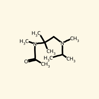 CC(=O)N(C)C(C)(C)CN(C)C(C)C